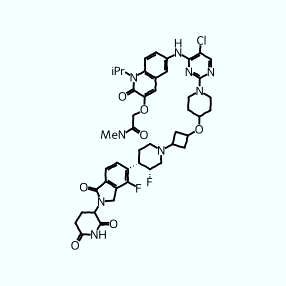 CNC(=O)COc1cc2cc(Nc3nc(N4CCC(OC5CC(N6CC[C@@H](c7ccc8c(c7F)CN(C7CCC(=O)NC7=O)C8=O)[C@@H](F)C6)C5)CC4)ncc3Cl)ccc2n(C(C)C)c1=O